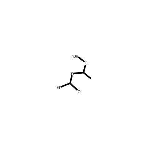 CCCCOC(C)OC([O])CC